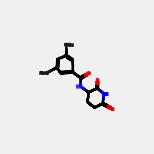 COc1cc(OC)cc(C(=O)NC2CCC(=O)NC2=O)c1